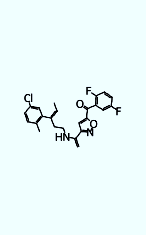 C=C(NCC/C(=C/C)c1cc(Cl)ccc1C)c1cc(C(=O)c2cc(F)ccc2F)on1